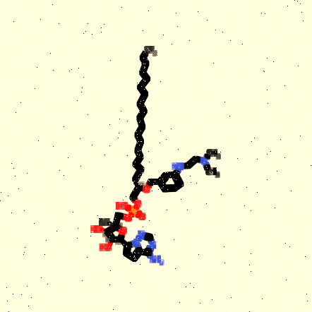 CN(C)CCNc1cccc(CO[C@@H](CCCCCCCCCCCCCCCCCC(F)(F)F)COP(=O)(O)OC[C@@]2(C#N)O[C@@H](c3ccc4c(N)ncnn34)[C@H](O)[C@@H]2O)c1